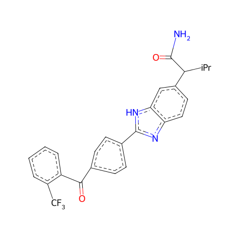 CC(C)C(C(N)=O)c1ccc2nc(-c3ccc(C(=O)c4ccccc4C(F)(F)F)cc3)[nH]c2c1